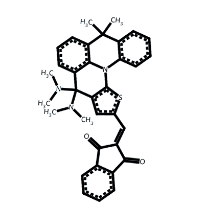 CN(C)C1(N(C)C)c2cc(C=C3C(=O)c4ccccc4C3=O)sc2N2c3ccccc3C(C)(C)c3cccc1c32